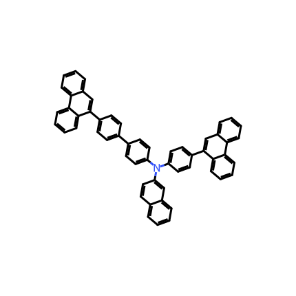 c1ccc2cc(N(c3ccc(-c4ccc(-c5cc6ccccc6c6ccccc56)cc4)cc3)c3ccc(-c4cc5ccccc5c5ccccc45)cc3)ccc2c1